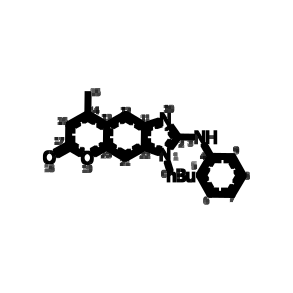 CCCCn1c(Nc2ccccc2)nc2cc3c(C)cc(=O)oc3cc21